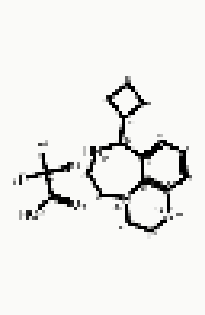 O=C(O)C(F)(F)F.c1cc2c3c(c1)C(C1CCC1)NCCN3CCN2